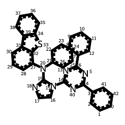 c1ccc(-c2nc(-c3ccccc3)nc(-n3ccnc3N(c3ccccc3)c3cccc4c3sc3ccccc34)n2)cc1